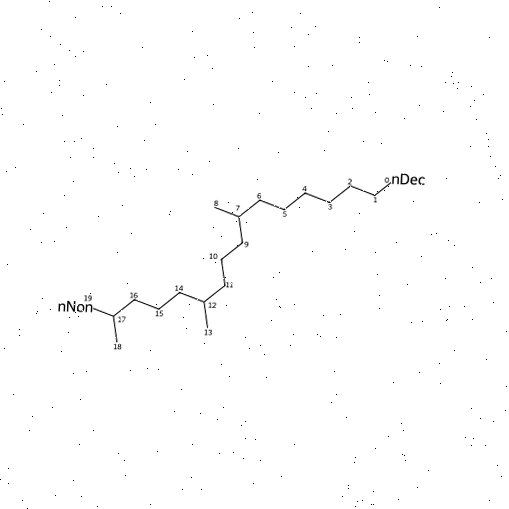 CCCCCCCCCCCCCCCCC(C)CCCC(C)CCCC(C)CCCCCCCCC